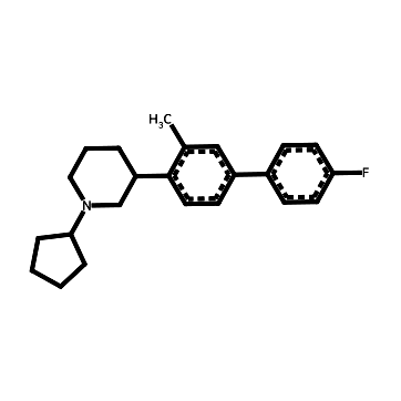 Cc1cc(-c2ccc(F)cc2)ccc1C1CCCN(C2CCCC2)C1